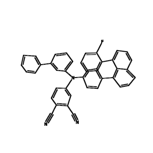 N#Cc1ccc(N(c2ccc(-c3cccc4cccc(-c5ccccc5F)c34)cc2)c2cccc(-c3ccccc3)c2)cc1C#N